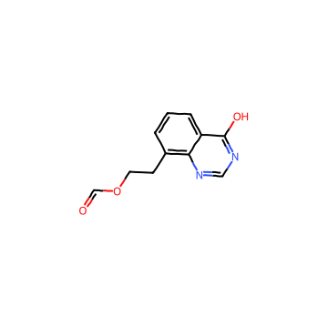 O=COCCc1cccc2c(O)ncnc12